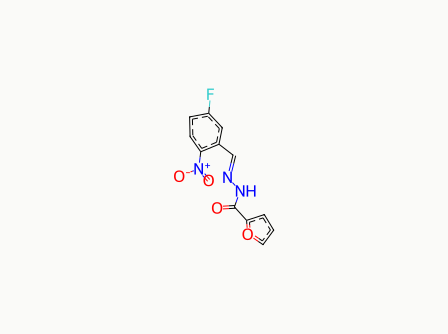 O=C(N/N=C/c1cc(F)ccc1[N+](=O)[O-])c1ccco1